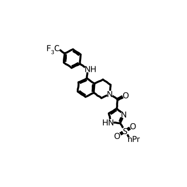 CCCS(=O)(=O)c1nc(C(=O)N2CCc3c(cccc3Nc3ccc(C(F)(F)F)cc3)C2)c[nH]1